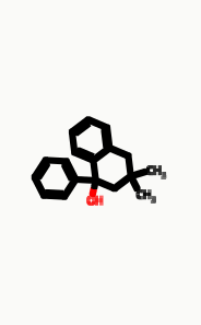 CC1(C)Cc2ccccc2C(O)(c2ccccc2)C1